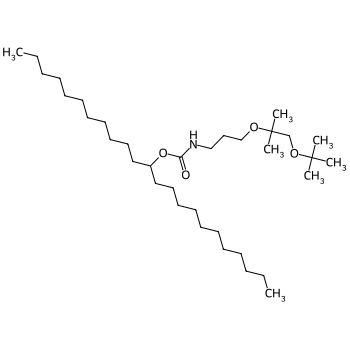 CCCCCCCCCCCC(CCCCCCCCCCC)OC(=O)NCCCOC(C)(C)COC(C)(C)C